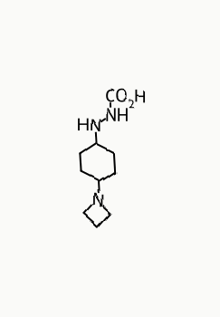 O=C(O)NNC1CCC(N2CCC2)CC1